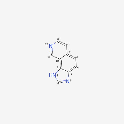 c1cc2ccc3nc[nH]c3c2cn1